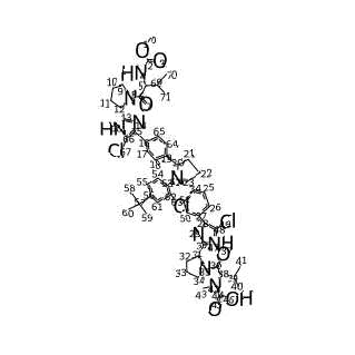 COC(=O)N[C@H](C(=O)N1CCC[C@H]1c1nc(-c2ccc([C@H]3CC[C@H](c4ccc(-c5nc([C@@H]6CCCN6C(=O)[C@H](C(C)C)N(C)C(=O)O)[nH]c5Cl)cc4)N3c3ccc(C(C)(C)C)cc3Cl)cc2)c(Cl)[nH]1)C(C)C